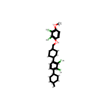 CCOc1ccc(OCC2CCC(c3ccc(C4CCC(C)CC4)c(F)c3F)CC2)c(F)c1F